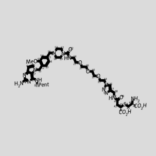 CCCCCNc1nc(N)nc2ccn(Cc3ccc(CN4CCN(C(=O)NCCOCCOCCOCCn5cc(CNC(=O)C[C@H](SC[C@H](N)C(=O)O)C(=O)O)nn5)CC4)cc3OC)c12